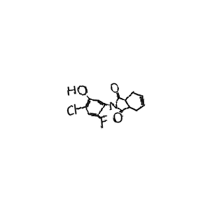 O=C1C2CC=CCC2C(=O)N1c1cc(O)c(Cl)cc1F